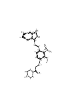 COc1c(OCC(=O)N2CCOCC2)ccc(C=Cc2n[nH]c3ccccc23)c1[N+](=O)[O-]